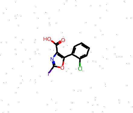 O=C(O)c1nc(I)oc1-c1ccccc1Cl